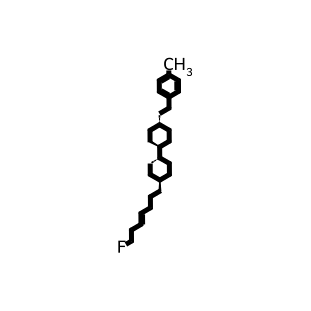 Cc1ccc(CC[C@H]2CC[C@H]([C@H]3CC[C@H](CCCC=CCCF)CC3)CC2)cc1